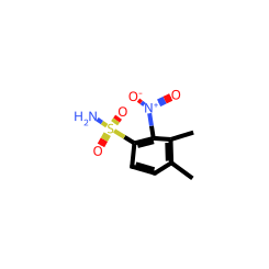 Cc1ccc(S(N)(=O)=O)c([N+](=O)[O-])c1C